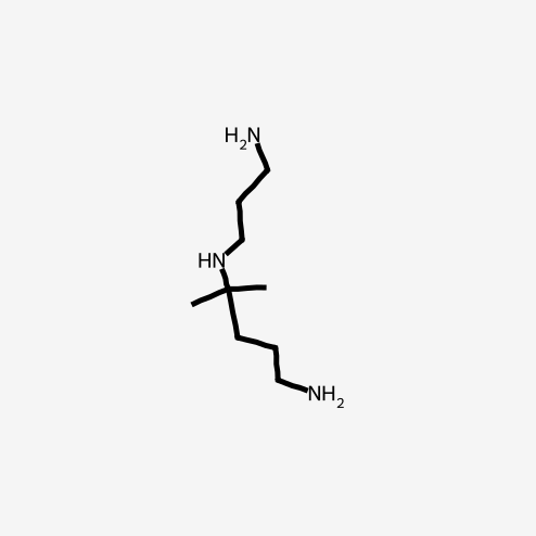 CC(C)(CCCN)NCCCN